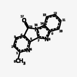 Cc1ccc2c(n1)-c1nc3ccccc3n1C2=O